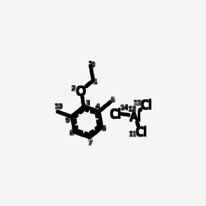 [CH2]COc1c(C)cccc1C.[Cl][Al]([Cl])[Cl]